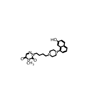 Cn1c(=O)cnn(CCCCN2CCN(c3cccc4ccc(O)cc34)CC2)c1=O